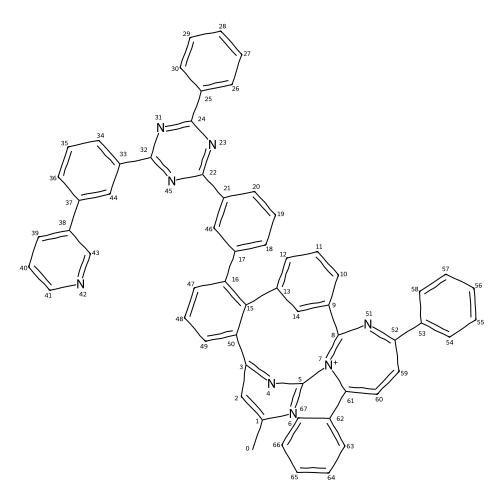 Cc1cc2nc(n1)[n+]1c(c3cccc(c3)c3c(-c4cccc(-c5nc(-c6ccccc6)nc(-c6cccc(-c7cccnc7)c6)n5)c4)cccc23)N=C(c2ccccc2)C=C=C1c1ccccc1